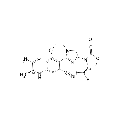 C[C@H](Nc1cc(C#N)c2c(c1)OCCn1cc(N3C(=C=O)OC[C@H]3C(F)F)nc1-2)C(N)=O